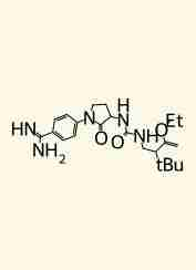 C=C(OCC)C(CNC(=O)NC1CCN(c2ccc(C(=N)N)cc2)C1=O)C(C)(C)C